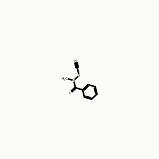 CN(SC#N)C(=O)c1ccccc1